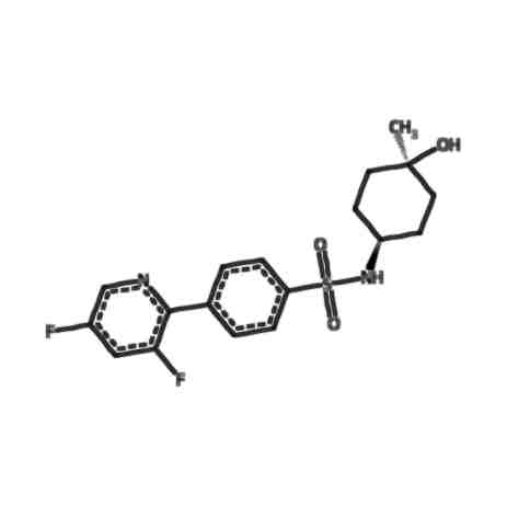 C[C@]1(O)CC[C@@H](NS(=O)(=O)c2ccc(-c3ncc(F)cc3F)cc2)CC1